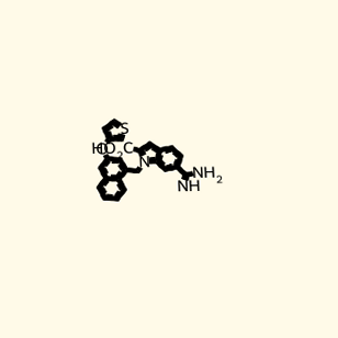 N=C(N)c1ccc2cc(C(=O)O)n(Cc3cc(Oc4ccsc4)cc4ccccc34)c2c1